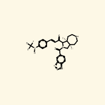 O=C(/C=C/c1ccc([S+]([O-])C(F)(F)F)cc1)C1[C@H]2CCNCC[C@H]2CN1C(=O)c1ccc2[nH]nnc2c1